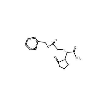 NC(=O)[C@@H](CCC(=O)OCc1ccccc1)N1CCCC1=O